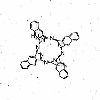 Cn1c2nc3nc(nc4c5cc6ccccc6cc5c(nc5nc(nc1c1cc6ccccc6cc12)-c1cc2ccccc2cc1-5)n4C)-c1cc2ccccc2cc1-3